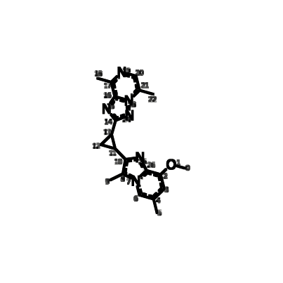 COc1cc(C)cn2c(C)c(C3CC3c3nc4c(C)ncc(C)n4n3)nc12